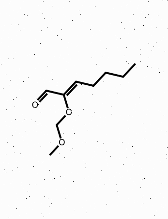 CCCCC=C(C=O)OCOC